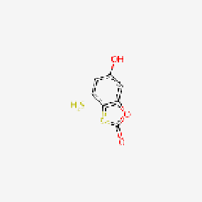 O=c1oc2cc(O)ccc2s1.S